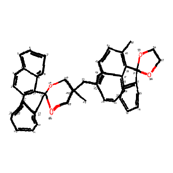 Cc1ccc2ccccc2c1C1(c2ccccc2)OCC(C)(Cc2cccc3c(C4(c5ccccc5)OCCO4)c(C)ccc23)CO1